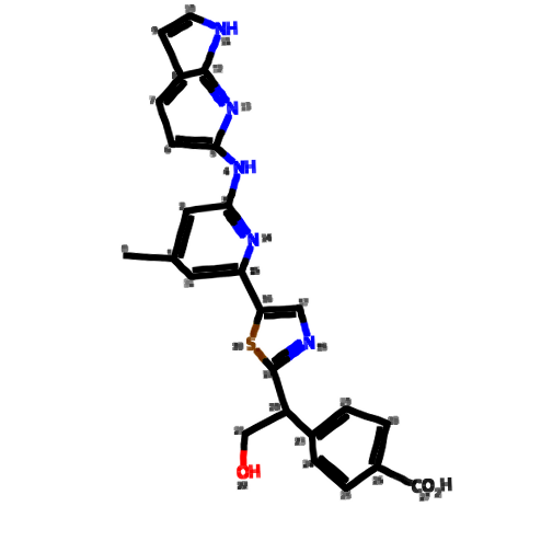 Cc1cc(Nc2ccc3cc[nH]c3n2)nc(-c2cnc(C(CO)c3ccc(C(=O)O)cc3)s2)c1